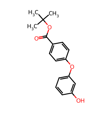 CC(C)(C)OC(=O)c1ccc(Oc2cccc(O)c2)cc1